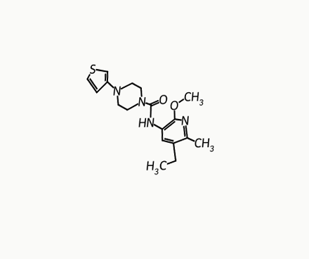 CCc1cc(NC(=O)N2CCN(c3ccsc3)CC2)c(OC)nc1C